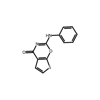 O=c1nc(Nc2ccccc2)oc2sccc12